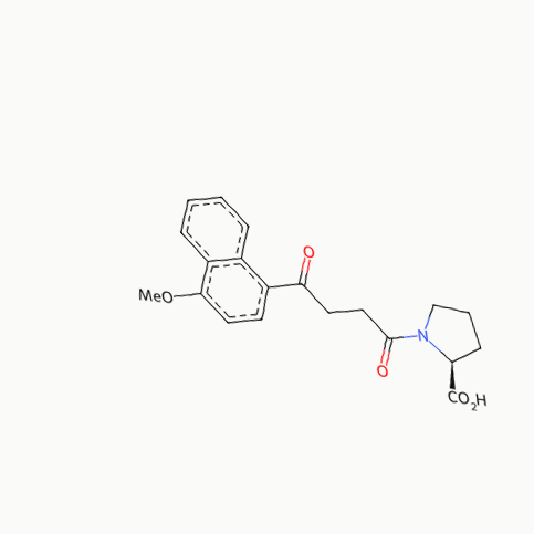 COc1ccc(C(=O)CCC(=O)N2CCC[C@H]2C(=O)O)c2ccccc12